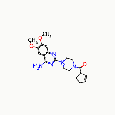 COc1cc2nc(N3CCN(C(=O)C4C=CCC4)CC3)nc(N)c2cc1OC